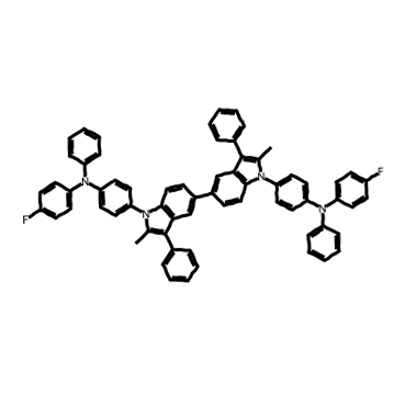 Cc1c(-c2ccccc2)c2cc(-c3ccc4c(c3)c(-c3ccccc3)c(C)n4-c3ccc(N(c4ccccc4)c4ccc(F)cc4)cc3)ccc2n1-c1ccc(N(c2ccccc2)c2ccc(F)cc2)cc1